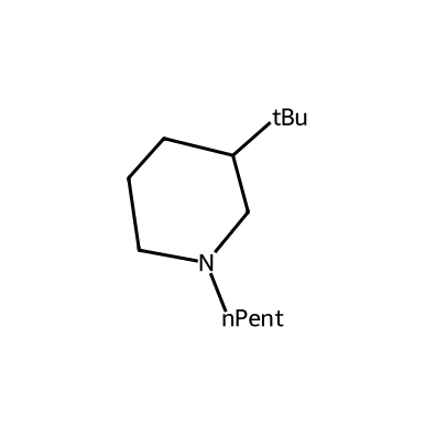 CCCCCN1CCCC(C(C)(C)C)C1